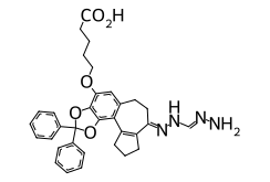 NN=CNN=C1CCc2cc(OCCCCC(=O)O)c3c(c2C2=C1CCC2)OC(c1ccccc1)(c1ccccc1)O3